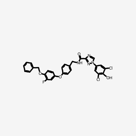 O=C(NCc1ccc(Oc2ccc(OCc3ccccc3)c(F)c2)cc1)c1ncn(-c2cc(Cl)c(O)c(Cl)c2)n1